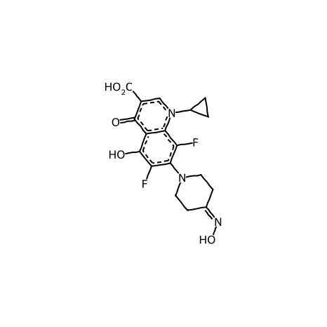 O=C(O)c1cn(C2CC2)c2c(F)c(N3CCC(=NO)CC3)c(F)c(O)c2c1=O